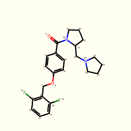 O=C(c1ccc(OCc2c(F)cccc2F)cc1)N1CCCC1CN1CCCC1